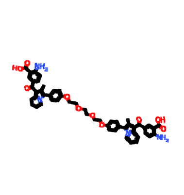 Cc1c(C(=O)c2ccc(N)c(C(=O)O)c2)c2ccccn2c1-c1ccc(OCCOCCOCCOc2ccc(-c3c(C)c(C(=O)c4ccc(N)c(C(=O)O)c4)c4ccccn34)cc2)cc1